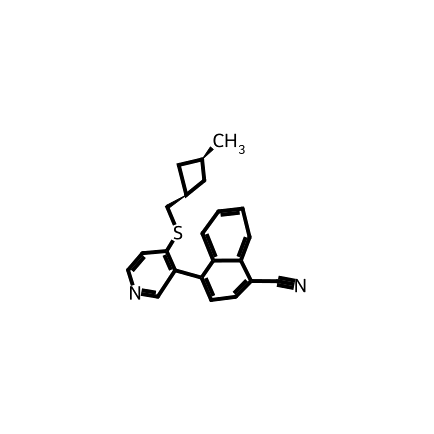 C[C@H]1C[C@@H](CSc2ccncc2-c2ccc(C#N)c3ccccc23)C1